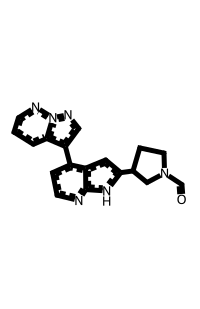 O=CN1CCC(c2cc3c(-c4cnn5ncccc45)ccnc3[nH]2)C1